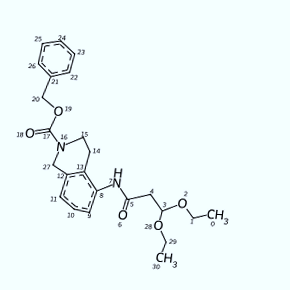 CCOC(CC(=O)Nc1cccc2c1CCN(C(=O)OCc1ccccc1)C2)OCC